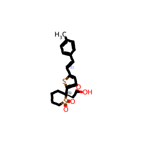 Cc1ccc(/C=C/c2ccc([C@@]3(CC(=O)O)CCCCS3(=O)=O)s2)cc1